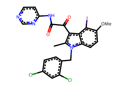 COc1ccc2c(c1I)c(C(=O)C(=O)Nc1ccncn1)c(C)n2Cc1ccc(Cl)cc1Cl